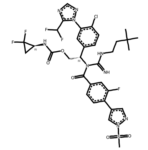 CC(C)(C)CCNC(=N)N(C(=O)c1ccc(-c2cnn(S(C)(=O)=O)c2)c(F)c1)[C@H](COC(=O)N[C@H]1CC1(F)F)c1ccc(Cl)c(-n2ncnc2C(F)F)c1